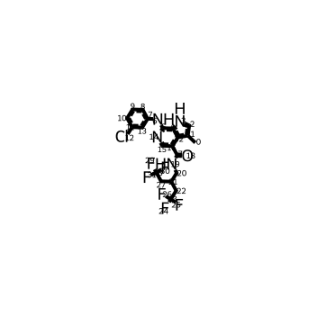 Cc1c[nH]c2c(Nc3cccc(Cl)c3)ncc(C(=O)NCC(CC(F)(F)F)CC(F)(F)F)c12